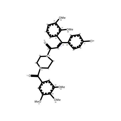 COc1cc(C(=O)N2CCN(C(=O)/C=C(/c3ccc(Cl)cc3)c3cccc(OC)c3OC)CC2)cc(OC)c1OC